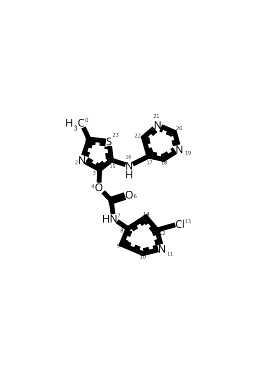 Cc1nc(OC(=O)Nc2ccnc(Cl)c2)c(Nc2cncnc2)s1